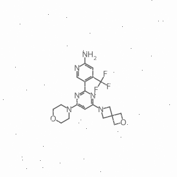 Nc1cc(C(F)(F)F)c(-c2nc(N3CCOCC3)cc(N3CC4(COC4)C3)n2)cn1